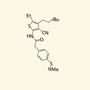 CCc1sc(NC(=O)Cc2ccc(SNC)cc2)c(C#N)c1CCC(C)CC